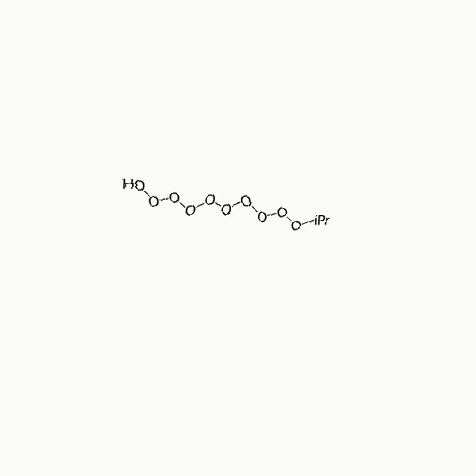 CC(C)OOOOOOOOOO